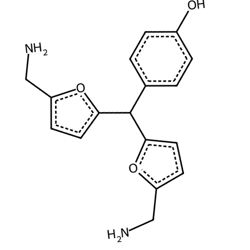 NCc1ccc(C(c2ccc(O)cc2)c2ccc(CN)o2)o1